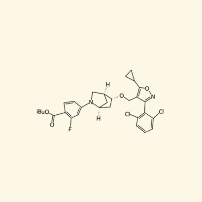 CC(C)COC(=O)c1ccc(N2C[C@@H]3C[C@H]2C[C@H]3OCc2c(-c3c(Cl)cccc3Cl)noc2C2CC2)cc1F